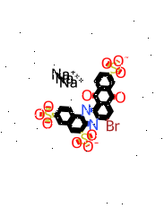 O=C1c2cc(S(=O)(=O)[O-])ccc2C(=O)c2c1cc(Br)c1nc3c(S(=O)(=O)[O-])cc4cc(S(=O)(=O)[O-])ccc4c3nc21.[Na+].[Na+].[Na+]